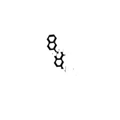 O=[N+]([O-])c1ccc2nc(-c3ccc4ccccc4c3)nc(Cl)c2c1